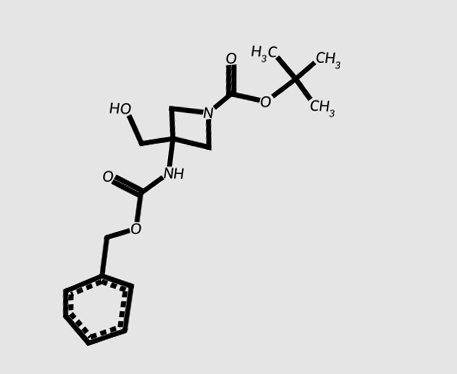 CC(C)(C)OC(=O)N1CC(CO)(NC(=O)OCc2ccccc2)C1